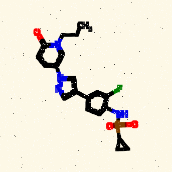 CCCn1cc(-n2cc(-c3ccc(NS(=O)(=O)C4CC4)c(F)c3)cn2)ccc1=O